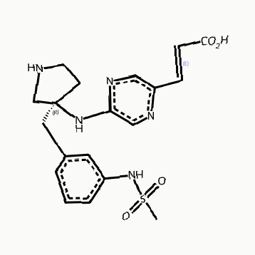 CS(=O)(=O)Nc1cccc(C[C@@]2(Nc3cnc(/C=C/C(=O)O)cn3)CCNC2)c1